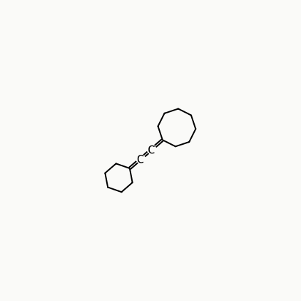 C(=C=C1CCCCC1)=C1CCCCCCC1